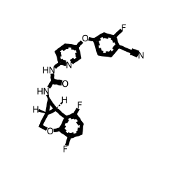 N#Cc1ccc(Oc2ccc(NC(=O)N[C@@H]3[C@H]4COc5c(F)ccc(F)c5[C@@H]43)nc2)cc1F